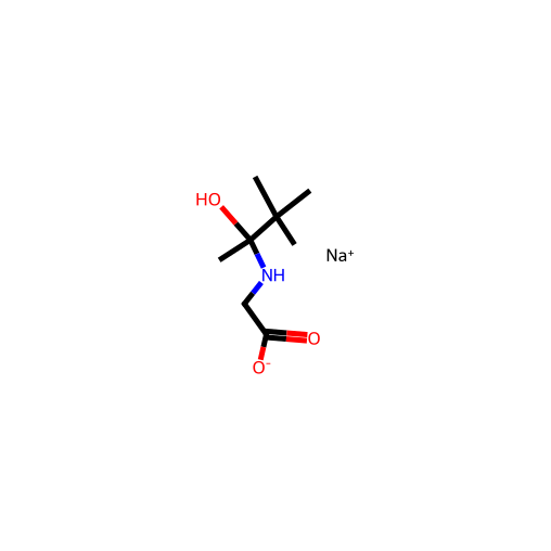 CC(C)(C)C(C)(O)NCC(=O)[O-].[Na+]